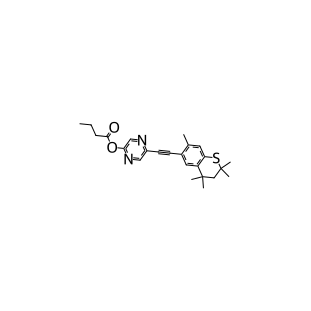 CCCC(=O)Oc1cnc(C#Cc2cc3c(cc2C)SC(C)(C)CC3(C)C)cn1